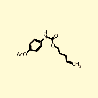 C=CCCCOC(=O)Nc1ccc(OC(C)=O)cc1